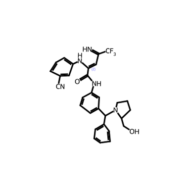 N#Cc1cccc(N/C(=C\C(=N)C(F)(F)F)C(=O)Nc2cccc(C(c3ccccc3)N3CCCC3CO)c2)c1